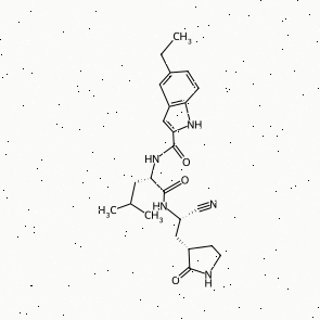 CCc1ccc2[nH]c(C(=O)N[C@@H](CC(C)C)C(=O)N[C@H](C#N)C[C@@H]3CCNC3=O)cc2c1